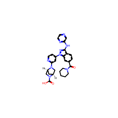 O=C(c1ccc2c(Nc3cnccn3)nn(-c3ccnc(N4C[C@@H]5C[C@H]4CN5C(=O)O)c3)c2c1)N1CCCCC1